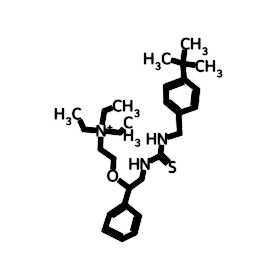 CC[N+](CC)(CC)CCOC(CNC(=S)NCc1ccc(C(C)(C)C)cc1)c1ccccc1